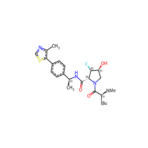 CN[C@H](C(=O)N1C[C@H](O)[C@H](F)[C@H]1C(=O)N[C@@H](C)c1ccc(-c2scnc2C)cc1)C(C)(C)C